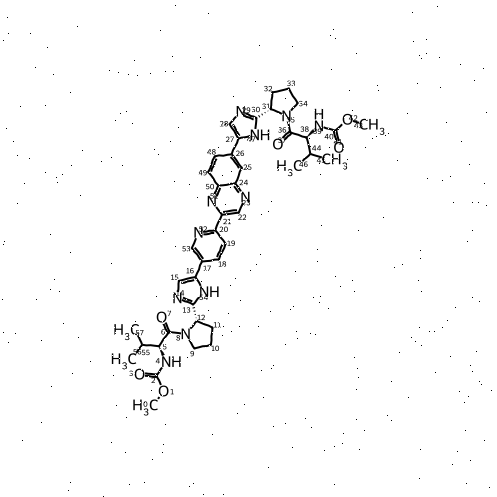 COC(=O)N[C@H](C(=O)N1CCC[C@H]1c1ncc(-c2ccc(-c3cnc4cc(-c5cnc([C@@H]6CCCN6C(=O)[C@@H](NC(=O)OC)C(C)C)[nH]5)ccc4n3)nc2)[nH]1)C(C)C